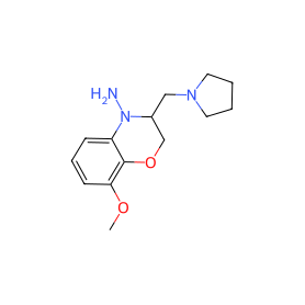 COc1cccc2c1OCC(CN1CCCC1)N2N